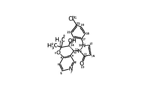 CC1(C)Oc2ccncc2C(n2c(=O)ccn2-c2ccc(Cl)cc2)C1O